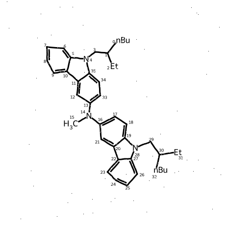 CCCCC(CC)Cn1c2ccccc2c2cc(N(C)c3ccc4c(c3)c3ccccc3n4CC(CC)CCCC)ccc21